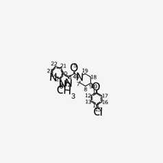 Cn1nc(C(=O)N2CCC(Oc3ccc(Cl)cc3)CC2)c2cccnc21